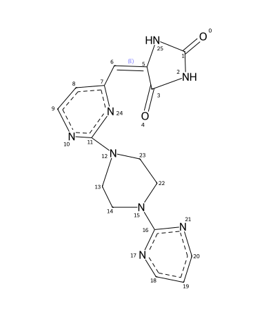 O=C1NC(=O)/C(=C\c2ccnc(N3CCN(c4ncccn4)CC3)n2)N1